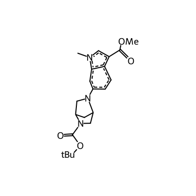 COC(=O)c1cn(C)c2cc(N3CC4CC3CN4C(=O)OC(C)(C)C)ccc12